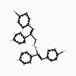 Ic1ccc(C=C(CSCC(=Cc2ccc(I)cc2)c2ccccc2)c2ccccc2)cc1